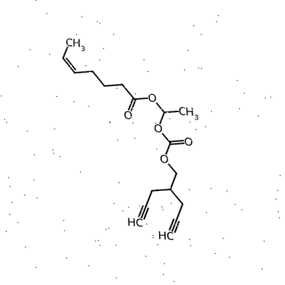 C#CCC(CC#C)COC(=O)OC(C)OC(=O)CCC/C=C\C